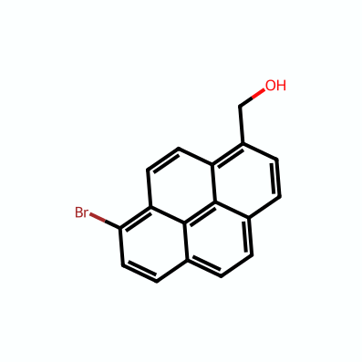 OCc1ccc2ccc3ccc(Br)c4ccc1c2c34